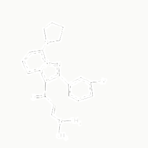 CN(C)C=CC(=O)c1c(-c2cccc(Br)c2)nn2c(N3CCCC3)cccc12